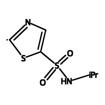 CC(C)NS(=O)(=O)c1cn[c]s1